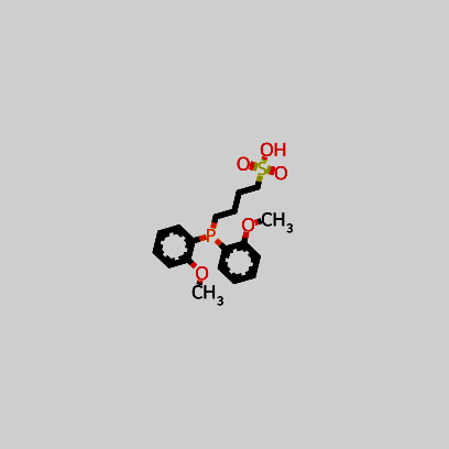 COc1ccccc1P(CCCCS(=O)(=O)O)c1ccccc1OC